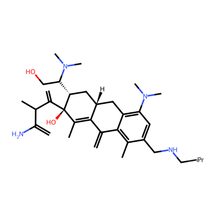 C=C1C2=C(C)[C@](O)(C(=C)C(C)C(=C)N)[C@H](C(CO)N(C)C)C[C@@H]2Cc2c(N(C)C)cc(CNCC(C)C)c(C)c21